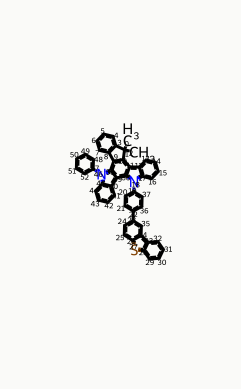 CC1(C)c2ccccc2-c2c1c1c3ccccc3n(-c3ccc(-c4ccc5sc6ccccc6c5c4)cc3)c1c1c3ccccc3n(-c3ccccc3)c21